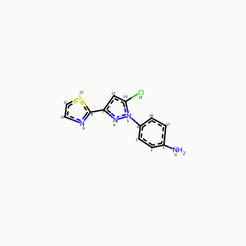 Nc1ccc(-n2nc(-c3nccs3)cc2Cl)cc1